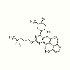 CC(=O)N1C[C@H](C)N(c2nc(OCCCN(C)C)nc3c(F)c(-c4c(O)cccc4F)c(C(F)(F)F)cc23)C[C@H]1C